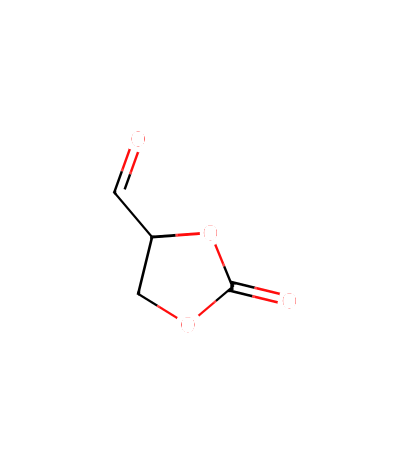 O=CC1COC(=O)O1